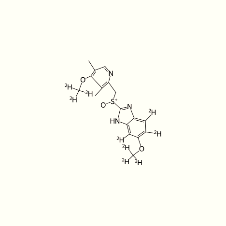 [2H]c1c(OC([2H])([2H])[2H])c([2H])c2[nH]c([S+]([O-])Cc3ncc(C)c(OC([2H])([2H])[2H])c3C)nc2c1[2H]